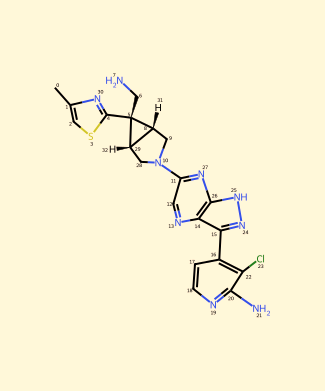 Cc1csc([C@]2(CN)[C@@H]3CN(c4cnc5c(-c6ccnc(N)c6Cl)n[nH]c5n4)C[C@@H]32)n1